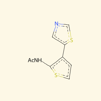 CC(=O)Nc1sccc1-c1cncs1